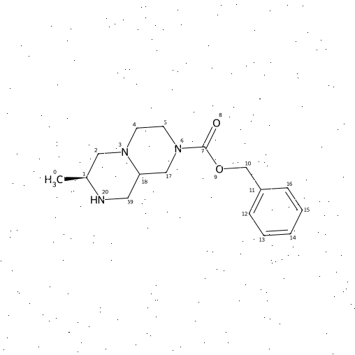 C[C@H]1CN2CCN(C(=O)OCc3ccccc3)CC2CN1